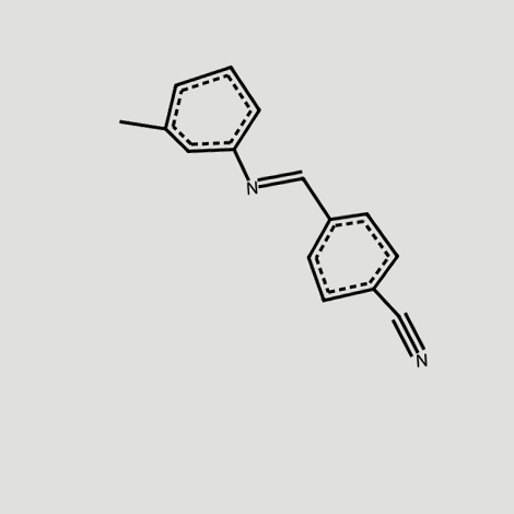 Cc1cccc(/N=C/c2ccc(C#N)cc2)c1